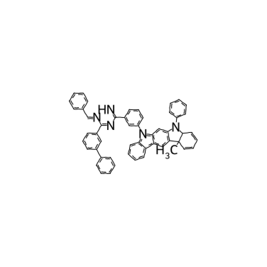 CC12C=CC=CC1N(c1ccccc1)c1cc3c(cc12)c1ccccc1n3-c1cccc(C(=N)/N=C(\N=C\c2ccccc2)c2cccc(-c3ccccc3)c2)c1